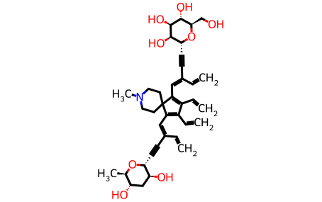 C=CC1=C(/C=C(/C#C[C@H]2O[C@H](CO)[C@@H](O)[C@H](O)[C@@H]2O)C=C)C2(CCN(C)CC2)C(/C=C(/C#C[C@H]2O[C@H](C)[C@@H](O)C[C@@H]2O)C=C)=C1C=C